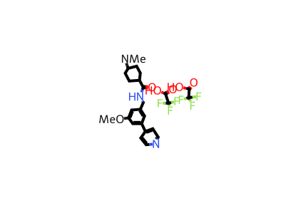 CNC1CCC(C(=O)NCc2cc(OC)cc(-c3ccncc3)c2)CC1.O=C(O)C(F)(F)F.O=C(O)C(F)(F)F